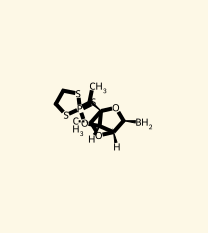 B[C@@H]1O[C@@]2(CC)[C@@H](C)O[C@@H]1[C@@H]2OP1(=S)SCCS1